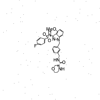 COc1cccc2c1c(NS(=O)(=O)c1ccc(F)cc1)nn2Cc1cccc(CNC(=O)[C@H]2COCCN2)c1